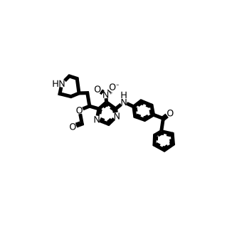 O=COC(CC1CCNCC1)c1ncnc(Nc2ccc(C(=O)c3ccccc3)cc2)c1[N+](=O)[O-]